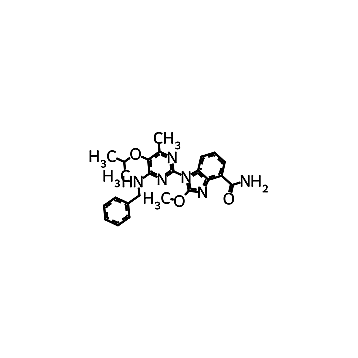 COc1nc2c(C(N)=O)cccc2n1-c1nc(C)c(OC(C)C)c(NCc2ccccc2)n1